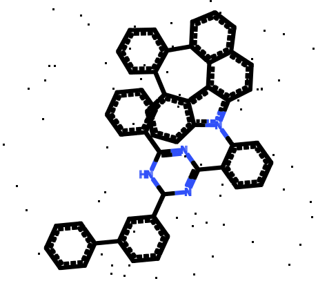 c1ccc(C2=NC(c3ccccc3-n3c4cccc5c4c4c6c(cccc6ccc43)-c3ccccc3-5)=NC(c3cccc(-c4ccccc4)c3)N2)cc1